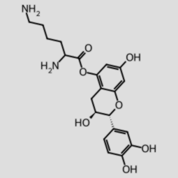 NCCCCC(N)C(=O)Oc1cc(O)cc2c1C[C@H](O)[C@@H](c1ccc(O)c(O)c1)O2